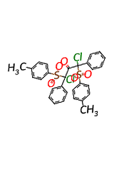 Cc1ccc(S(=O)(=O)C(Cl)(C(=O)C(Cl)(c2ccccc2)S(=O)(=O)c2ccc(C)cc2)c2ccccc2)cc1